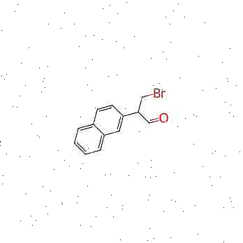 O=CC(CBr)c1ccc2ccccc2c1